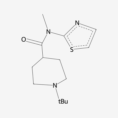 CN(C(=O)C1CCN(C(C)(C)C)CC1)c1nccs1